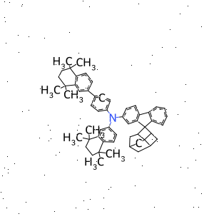 CC1(C)CCC(C)(C)c2cc(-c3ccc(N(c4ccc5c(c4)C(C)(C)CCC5(C)C)c4ccc5c(c4)C4(c6ccccc6-5)C5CC6CC7CC4C75C6)cc3)ccc21